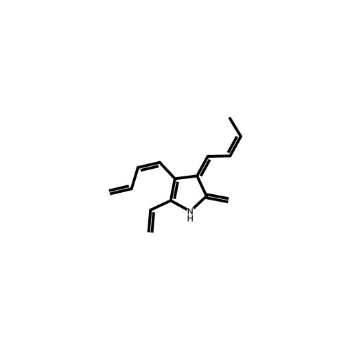 C=C/C=C\c1c(C=C)[nH]c(=C)/c1=C\C=C/C